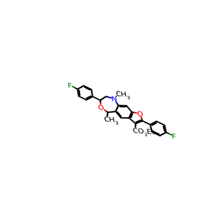 CCOC(=O)c1c(-c2ccc(F)cc2)oc2cc3c(cc12)C(C)OC(c1ccc(F)cc1)CN3C